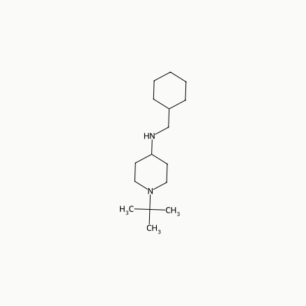 CC(C)(C)N1CCC(NCC2CCCCC2)CC1